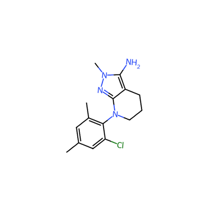 Cc1cc(C)c(N2CCCc3c2nn(C)c3N)c(Cl)c1